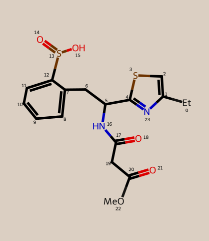 CCc1csc(C(Cc2ccccc2S(=O)O)NC(=O)CC(=O)OC)n1